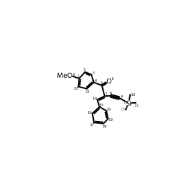 COc1ccc(C(=O)C(C#C[Si](C)(C)C)=Cc2ccccc2)cc1